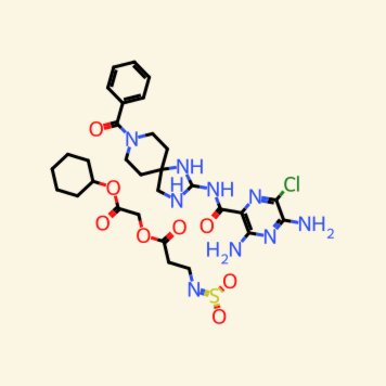 Nc1nc(N)c(C(=O)NC2NCC3(CCN(C(=O)c4ccccc4)CC3)N2)nc1Cl.O=C(CCN=S(=O)=O)OCC(=O)OC1CCCCC1